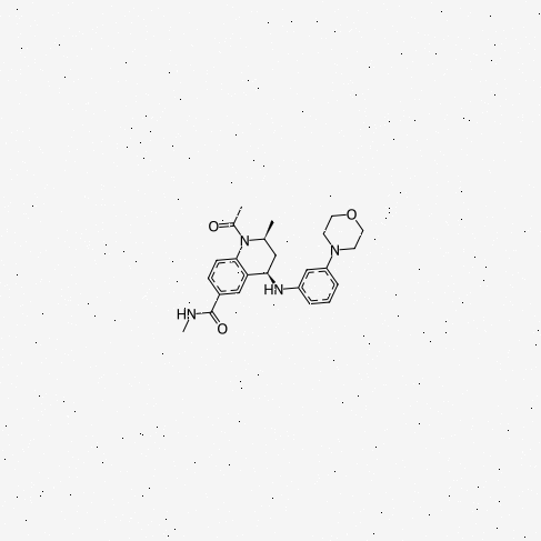 CNC(=O)c1ccc2c(c1)[C@H](Nc1cccc(N3CCOCC3)c1)C[C@H](C)N2C(C)=O